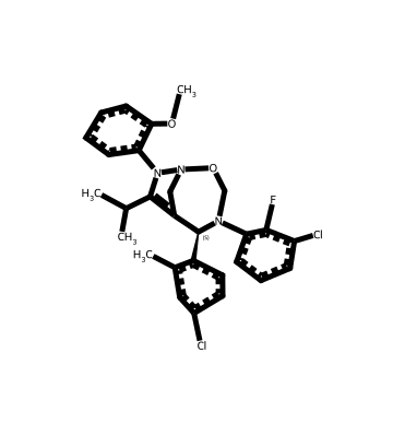 COc1ccccc1N1C(C(C)C)=C2CN1OCN(c1cccc(Cl)c1F)[C@H]2c1ccc(Cl)cc1C